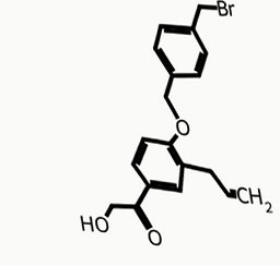 C=CCc1cc(C(=O)CO)ccc1OCc1ccc(CBr)cc1